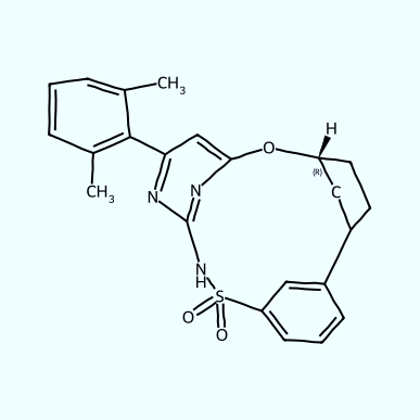 Cc1cccc(C)c1-c1cc2nc(n1)NS(=O)(=O)c1cccc(c1)C1CC[C@H](C1)O2